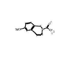 N#Cc1ccc2c(c1)CCN(C(=O)C(F)(F)F)C2